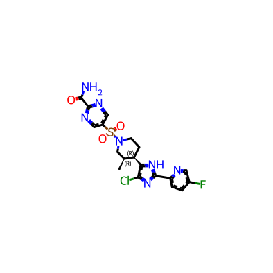 C[C@H]1CN(S(=O)(=O)c2cnc(C(N)=O)nc2)CC[C@H]1c1[nH]c(-c2ccc(F)cn2)nc1Cl